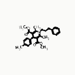 COC(=O)C1=C(C)N(CCCc2ccccc2)C(C)=C(C(=O)OC)C1c1ccc(C)cc1